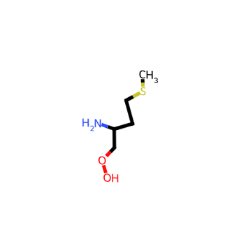 CSCCC(N)COO